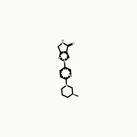 O=C1NCc2nn(-c3ccc(N4CCC[C@H](F)C4)nc3)cc21